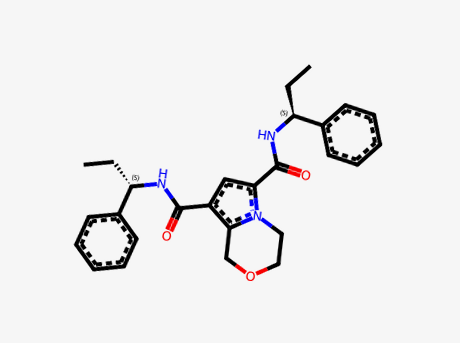 CC[C@H](NC(=O)c1cc(C(=O)N[C@@H](CC)c2ccccc2)n2c1COCC2)c1ccccc1